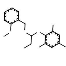 CCC(OCc1ccccc1OC)Oc1c(F)cc(I)cc1F